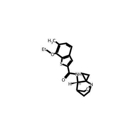 CCOc1c(C)ccc2cc(C(=O)N[C@H]3C4CCN(CC4)C34CC4)sc12